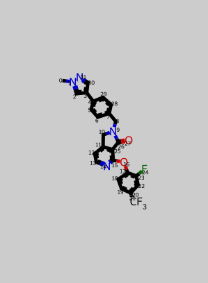 Cn1cc(-c2ccc(CN3Cc4ccnc(Oc5ccc(C(F)(F)F)cc5F)c4C3=O)cc2)cn1